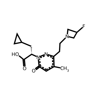 Cc1cc(=O)n([C@@H](CC2CC2)C(=O)O)nc1CCN1CC(F)C1